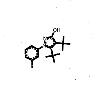 Cc1cccc(-n2nc(O)c(C(C)(C)C)c2C(C)(C)C)c1